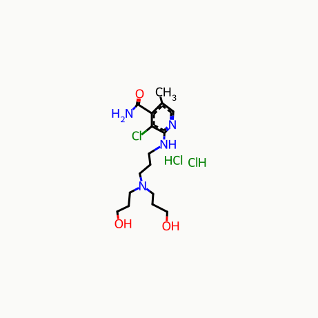 Cc1cnc(NCCCN(CCCO)CCCO)c(Cl)c1C(N)=O.Cl.Cl